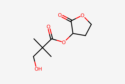 CC(C)(CO)C(=O)OC1CCOC1=O